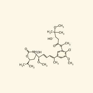 COc1cc(/C(C)=C/C=C/[C@@H](OC)[C@@]2(O)C[C@@H](C(C)C)OC(=O)N2)cc(N(C)C(=O)C[C@H](O)C(C)(C)OC)c1Cl